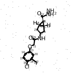 NNC(=O)[C@H]1[C@@H]2CC(NC(=O)COc3ccc(Cl)c(F)c3)C[C@@H]21